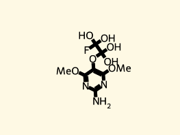 COc1nc(N)nc(OC)c1OC(O)(O)C(O)(O)F